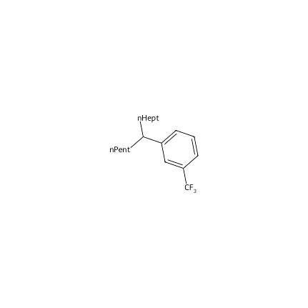 CCCCCCCC(CCCCC)c1cccc(C(F)(F)F)c1